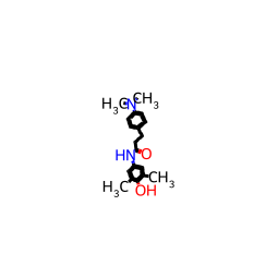 Cc1cc(NC(=O)CCc2ccc(N(C)C)cc2)cc(C)c1O